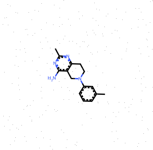 Cc1cccc(N2CCc3nc(C)nc(N)c3C2)c1